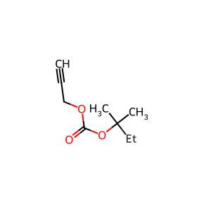 C#CCOC(=O)OC(C)(C)CC